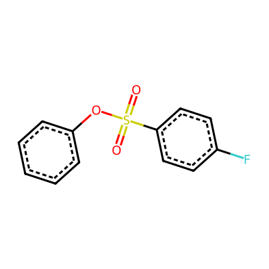 O=S(=O)(Oc1ccccc1)c1ccc(F)cc1